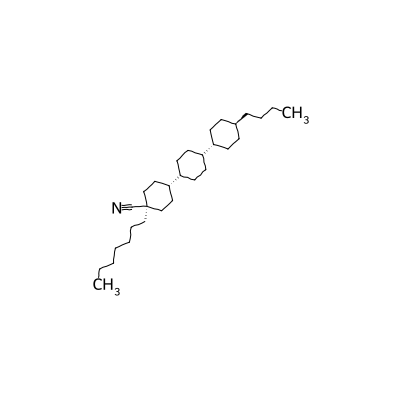 CCCCCCC[C@]1(C#N)CC[C@H](C2CCC([C@H]3CC[C@H](CCCC)CC3)CC2)CC1